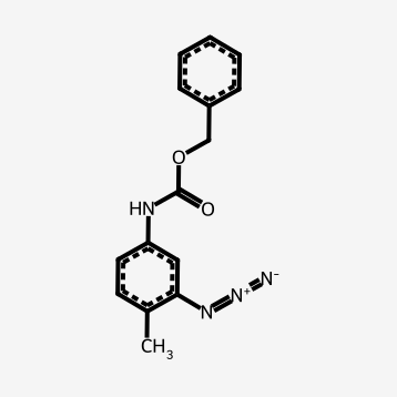 Cc1ccc(NC(=O)OCc2ccccc2)cc1N=[N+]=[N-]